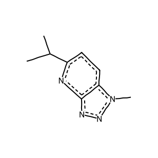 CC(C)c1ccc2c(nnn2C)n1